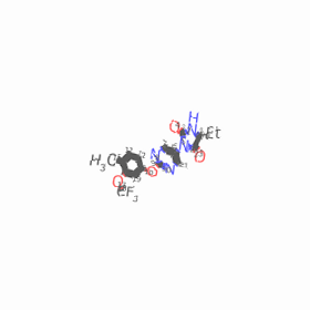 CC[C@H]1NC(=O)N(c2cnc(Oc3ccc(C)c(OC(F)(F)F)c3)nc2)C1=O